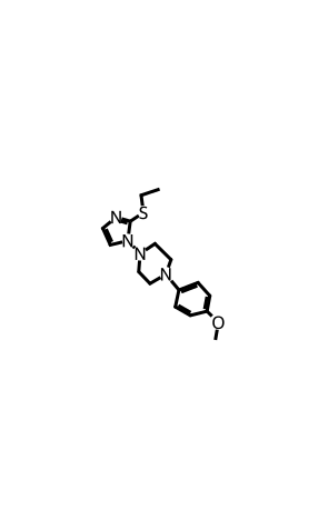 CCSc1nccn1N1CCN(c2ccc(OC)cc2)CC1